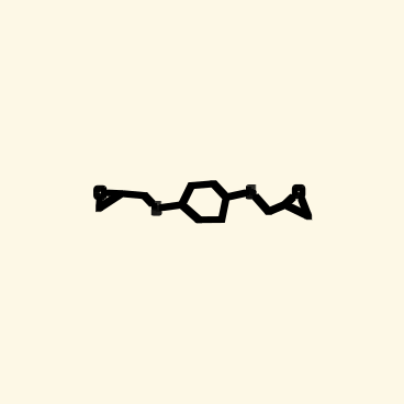 C1OC1CSC1CCC(SCC2CO2)CC1